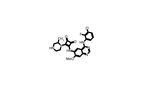 COc1cc2ncnc(Nc3cccc(Cl)c3F)c2cc1Nc1c(N2CCNCC2C)c(=O)c1=O